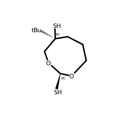 CC(C)(C)[C@]1(S)CCCO[C@@H](S)OC1